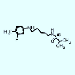 Cc1ccc(NCCCCCNS(=O)(=O)C(C)C)cc1F